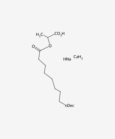 CCCCCCCCCCCCCCCCCC(=O)OC(C)C(=O)O.[CaH2].[NaH]